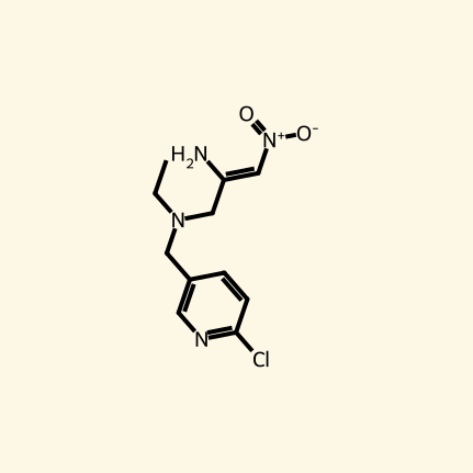 CCN(CC(N)=C[N+](=O)[O-])Cc1ccc(Cl)nc1